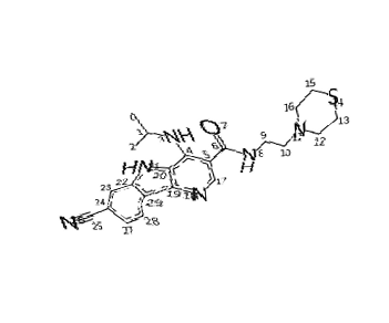 CC(C)Nc1c(C(=O)NCCN2CCSCC2)cnc2c1[nH]c1cc(C#N)ccc12